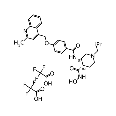 Cc1cc(COc2ccc(C(=O)N[C@@H]3CN(CC(C)C)CC[C@@H]3C(=O)NO)cc2)c2ccccc2n1.O=C(O)C(F)(F)F.O=C(O)C(F)(F)F